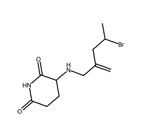 C=C(CNC1CCC(=O)NC1=O)CC(C)Br